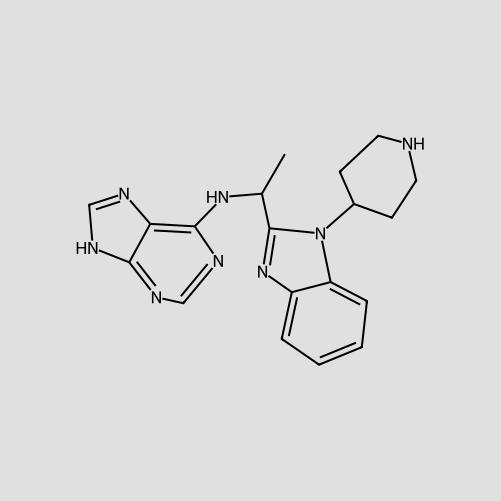 CC(Nc1ncnc2[nH]cnc12)c1nc2ccccc2n1C1CCNCC1